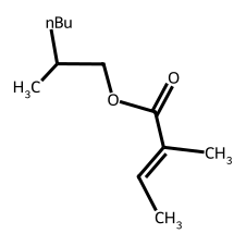 CC=C(C)C(=O)OCC(C)CCCC